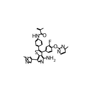 C=C(C)C(=O)Nc1ccc(-c2sc3c(-c4cnn(C)c4)cnc(N)c3c2-c2ccc(Oc3nccc(C)n3)c(F)c2)cc1